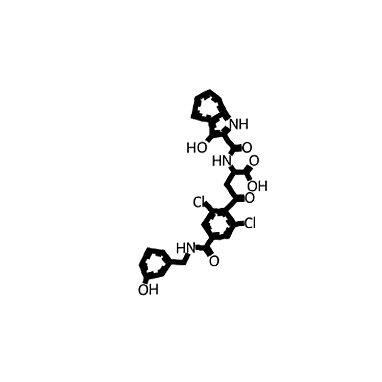 O=C(NCc1cccc(O)c1)c1cc(Cl)c(C(=O)CC(NC(=O)c2[nH]c3ccccc3c2O)C(=O)O)c(Cl)c1